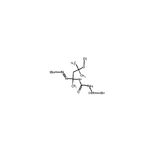 CCOC(C)(C)CC(C)(/N=N/C(C)(C)C)NC(=O)NNC(C)(C)C